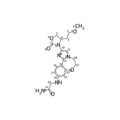 COCCC1COC(=O)N1c1cn2c(n1)-c1ccc(NCC(N)=O)cc1OCC2